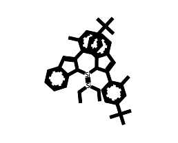 CC[Si](CC)=[Si](C1C(c2ccc(C(C)(C)C)cc2C)=Cc2ccccc21)C1C(c2ccc(C(C)(C)C)cc2C)=Cc2ccccc21